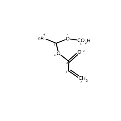 C=CC(=O)OC(CCC)OC(=O)O